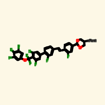 CCCCCC1COC(c2ccc(/C=C/c3ccc(-c4cc(F)c(C(F)(F)Oc5cc(F)c(F)c(F)c5)c(F)c4)c(F)c3)c(F)c2)OC1